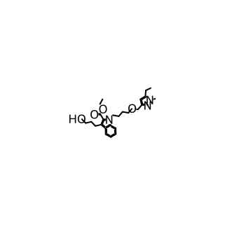 CCOC(=O)c1c(CCCO)c2ccccc2n1CCCCOCc1cc(CC)n(C)n1